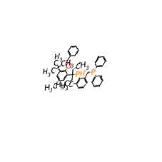 CCC(CC)(Pc1c(C)cccc1CP(c1ccccc1)c1ccccc1)c1cc(C)cc(C(C)(C)C)c1OCc1ccccc1